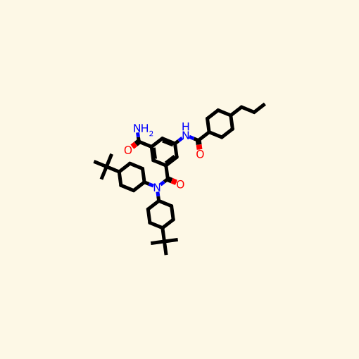 CCCC1CCC(C(=O)Nc2cc(C(N)=O)cc(C(=O)N(C3CCC(C(C)(C)C)CC3)C3CCC(C(C)(C)C)CC3)c2)CC1